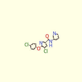 O=C(Nc1cccnc1)c1cnc(Oc2ccc(Cl)cc2)c(Cl)c1